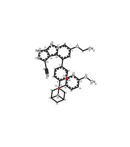 CCOc1cc(-c2ccc(N3CC4CC(C3)N4Cc3ccc(OC)nc3)nc2)c2c3c(C#N)n[nH]c3nn2c1